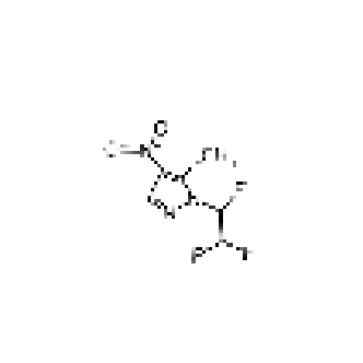 Cc1c([N+](=O)[O-])cnn1C(F)C(F)F